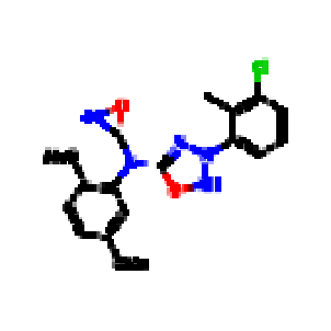 COc1ccc(OC)c(N(C2=NN(c3cccc(Cl)c3C)NO2)C2NO2)c1